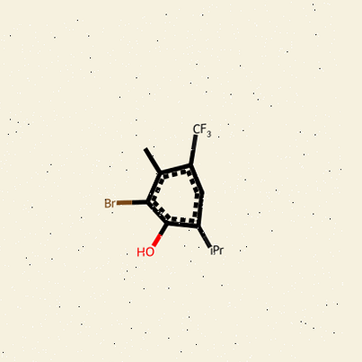 Cc1c(C(F)(F)F)cc(C(C)C)c(O)c1Br